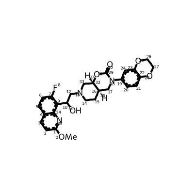 COc1ccc2ccc(F)c(C(O)CN3CC[C@@H]4CN(c5ccc6c(c5)OCCO6)C(=O)O[C@H]4C3)c2n1